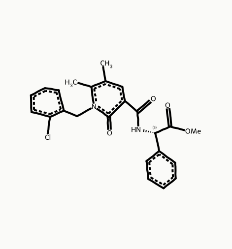 COC(=O)[C@@H](NC(=O)c1cc(C)c(C)n(Cc2ccccc2Cl)c1=O)c1ccccc1